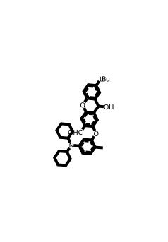 Cc1ccc(N(C2CCCCC2)C2CCCCC2)cc1Oc1cc2c(cc1C=O)Oc1ccc(C(C)(C)C)cc1C2O